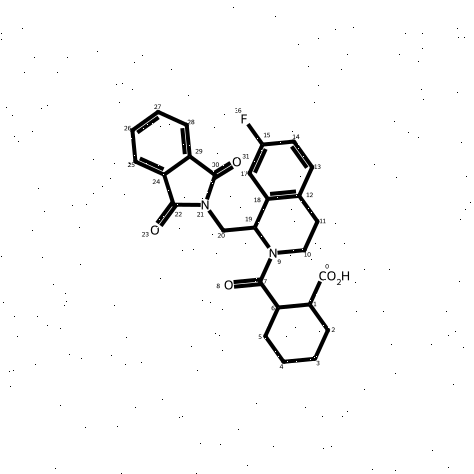 O=C(O)C1CCCCC1C(=O)N1CCc2ccc(F)cc2C1CN1C(=O)c2ccccc2C1=O